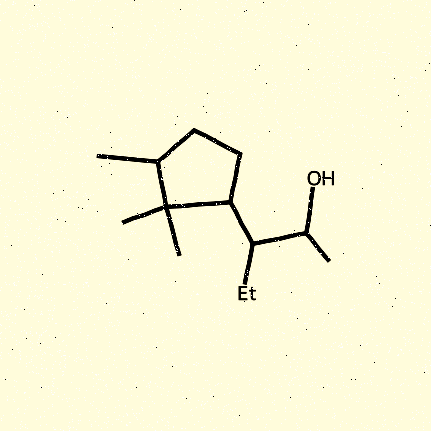 CCC(C(C)O)C1CCC(C)C1(C)C